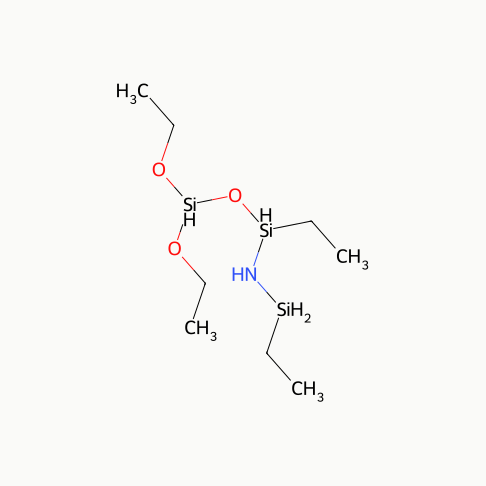 CCO[SiH](OCC)O[SiH](CC)N[SiH2]CC